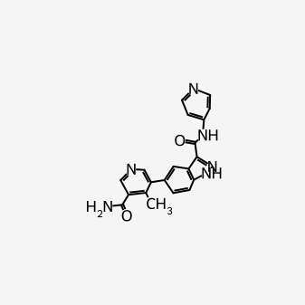 Cc1c(C(N)=O)cncc1-c1ccc2[nH]nc(C(=O)Nc3ccncc3)c2c1